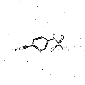 C#Cc1ccc(NS(C)(=O)=O)cn1